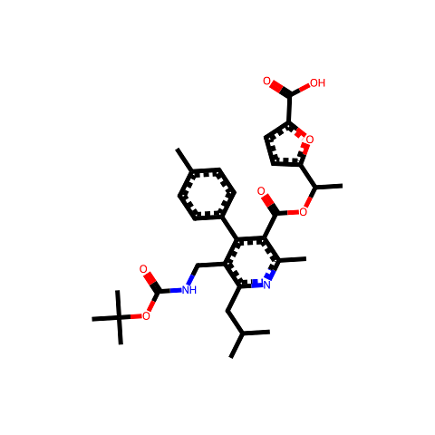 Cc1ccc(-c2c(CNC(=O)OC(C)(C)C)c(CC(C)C)nc(C)c2C(=O)OC(C)c2ccc(C(=O)O)o2)cc1